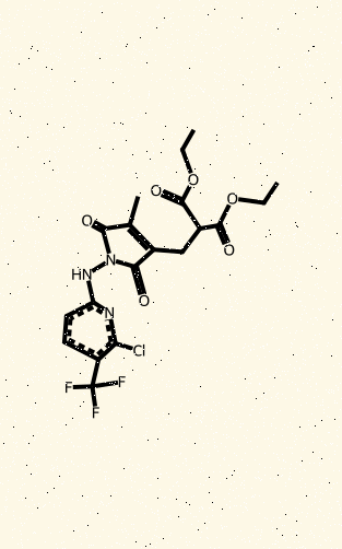 CCOC(=O)C(CC1=C(C)C(=O)N(Nc2ccc(C(F)(F)F)c(Cl)n2)C1=O)C(=O)OCC